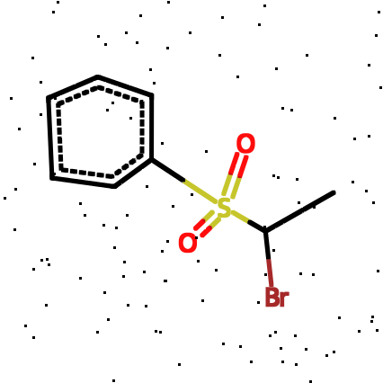 CC(Br)S(=O)(=O)c1ccccc1